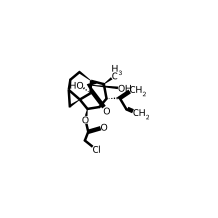 C=CC(=C)[C@@H]1C[C@@H](OC(=O)CCl)[C@]23CC2CC[C@]2(C[C@H](O)C(=O)[C@]23O)[C@H]1C